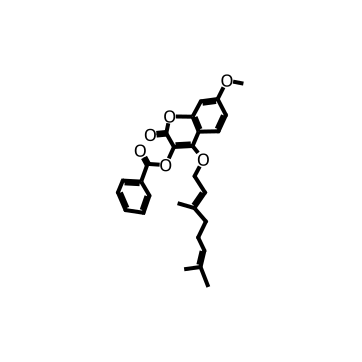 COc1ccc2c(OC/C=C(\C)CCC=C(C)C)c(OC(=O)c3ccccc3)c(=O)oc2c1